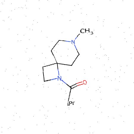 CC(C)C(=O)N1CCC12CCN(C)CC2